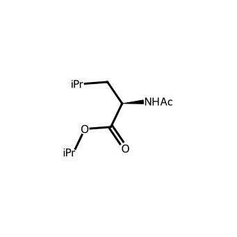 CC(=O)N[C@H](CC(C)C)C(=O)OC(C)C